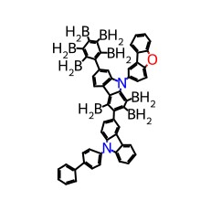 Bc1c(B)c(B)c(-c2ccc3c4c(B)c(-c5ccc6c(c5)c5ccccc5n6-c5ccc(-c6ccccc6)cc5)c(B)c(B)c4n(-c4ccc5oc6ccccc6c5c4)c3c2)c(B)c1B